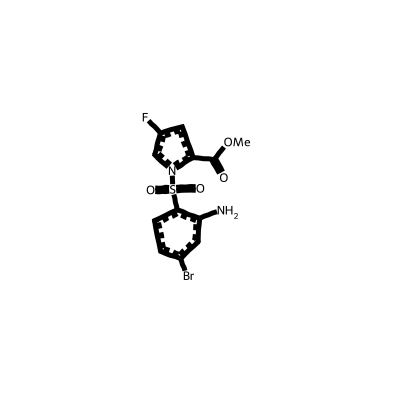 COC(=O)c1cc(F)cn1S(=O)(=O)c1ccc(Br)cc1N